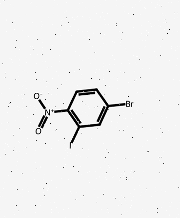 O=[N+]([O-])c1ccc(Br)cc1I